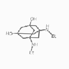 CCNC12CC3(O)CC(O)(C1)CC(NCC)(C3)C2